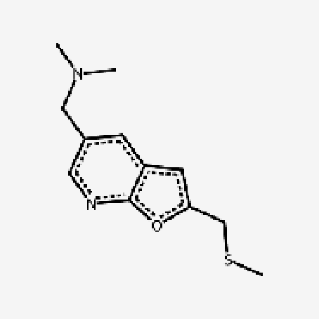 CSCc1cc2cc(CN(C)C)cnc2o1